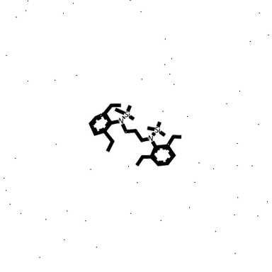 CCc1cccc(CC)c1N(CCCN(c1c(CC)cccc1CC)[Si](C)(C)C)[Si](C)(C)C